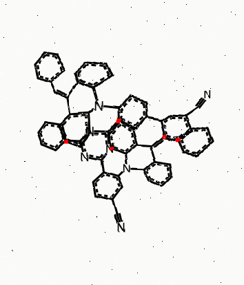 N#Cc1cccc(-c2ccc(N3c4ccccc4C(=Cc4ccccc4)c4ccccc43)c(-c3nc(-c4ccccc4)nc(-c4ccc(C#N)cc4N4c5ccccc5C(=Cc5ccccc5)c5ccccc54)n3)c2)c1